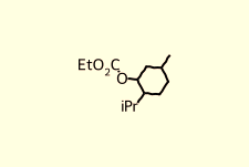 CCOC(=O)OC1CC(C)CCC1C(C)C